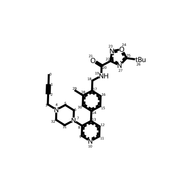 CC#CCN1CCN(c2cnccc2-c2ccc(CNC(=O)c3noc(C(C)(C)C)n3)c(C)c2)CC1